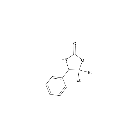 CCC1(CC)OC(=O)NC1c1ccccc1